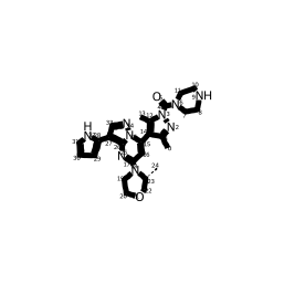 Cc1nn(C(=O)N2CCNCC2)c(C)c1-c1cc(N2CCOC[C@H]2C)nc2c(-c3ccc[nH]3)cnn12